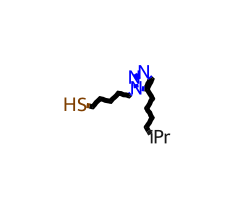 CC(C)CCCCc1cnnn1CCCCCS